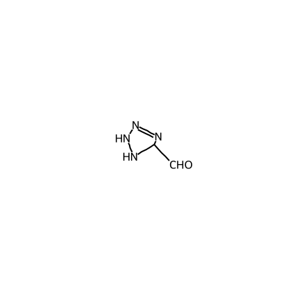 O=CC1N=NNN1